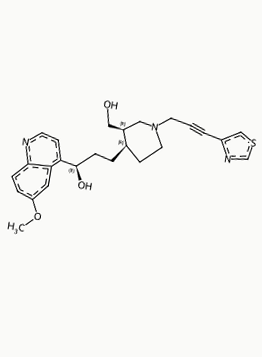 COc1ccc2nccc([C@H](O)CC[C@@H]3CCN(CC#Cc4cscn4)C[C@@H]3CO)c2c1